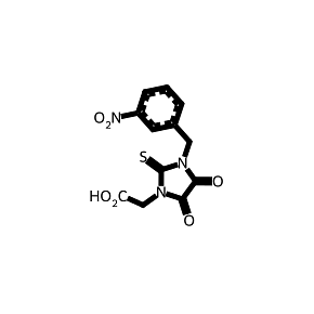 O=C(O)CN1C(=O)C(=O)N(Cc2cccc([N+](=O)[O-])c2)C1=S